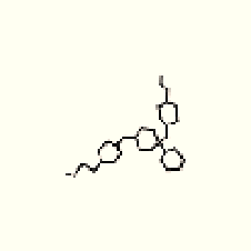 CCCCC1CCC(CC2CCC(CC3CCC(CCC)CC3)(C3CCCCC3)CC2)CC1